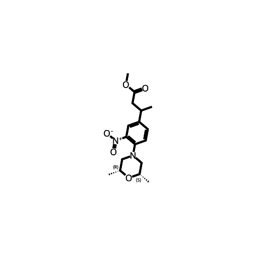 COC(=O)CC(C)c1ccc(N2C[C@@H](C)O[C@@H](C)C2)c([N+](=O)[O-])c1